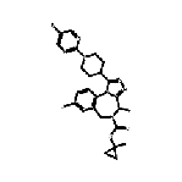 CC1c2nnc(C3CCN(c4ncc(F)cn4)CC3)n2-c2ccc(Cl)cc2CN1C(=O)OC1(C)CC1